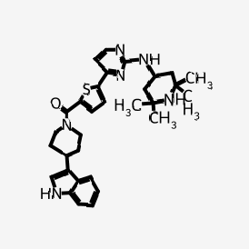 CC1(C)CC(Nc2nccc(-c3ccc(C(=O)N4CCC(c5c[nH]c6ccccc56)CC4)s3)n2)CC(C)(C)N1